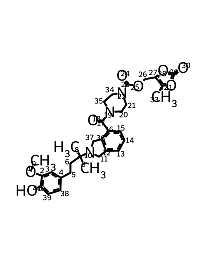 COc1cc(CCC(C)(C)N2Cc3cccc(C(=O)N4CCN(C(=O)OCc5oc(=O)oc5C)CC4)c3C2)ccc1O